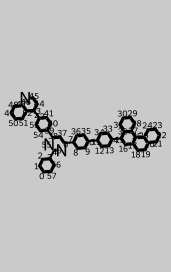 c1ccc(-c2nc(-c3ccc(-c4ccc(-c5cc6ccc7ccccc7c6c6ccccc56)cc4)cc3)cc(-c3ccc(-c4ccnc5ccccc45)cc3)n2)cc1